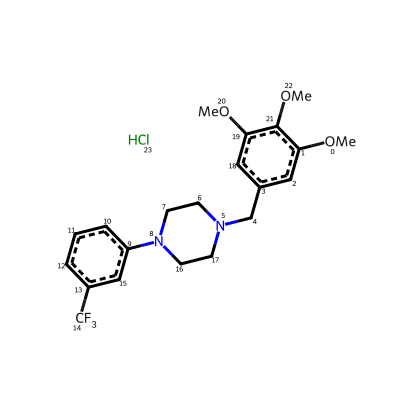 COc1cc(CN2CCN(c3cccc(C(F)(F)F)c3)CC2)cc(OC)c1OC.Cl